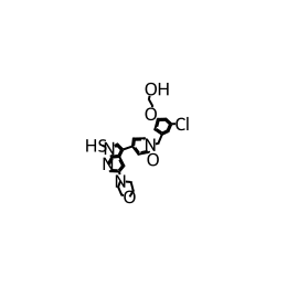 O=c1cc(-c2cn(S)c3ncc(N4CCOCC4)cc23)ccn1Cc1cc(Cl)cc(OCCO)c1